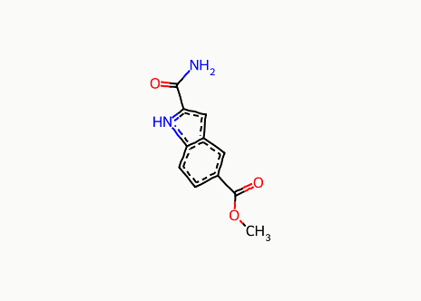 COC(=O)c1ccc2[nH]c(C(N)=O)cc2c1